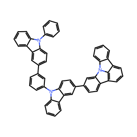 c1ccc(-n2c3ccccc3c3cc(-c4cccc(-n5c6ccccc6c6cc(-c7ccc8c9cccc%10c%11ccccc%11n(c8c7)c%109)ccc65)c4)ccc32)cc1